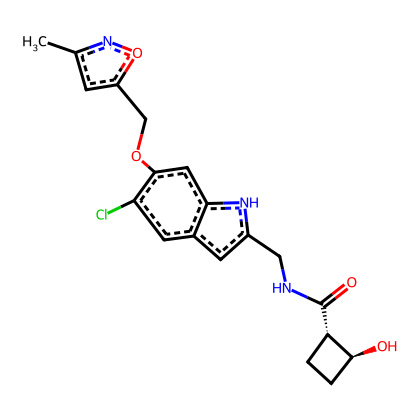 Cc1cc(COc2cc3[nH]c(CNC(=O)[C@H]4CC[C@@H]4O)cc3cc2Cl)on1